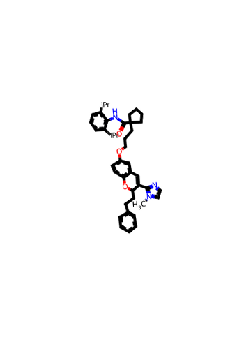 CC(C)c1cccc(C(C)C)c1NC(=O)C1(CCCOc2ccc3c(c2)C=C(c2nccn2C)C(CCc2ccccc2)O3)CCCC1